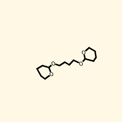 C(CCOC1CCCCO1)COC1CCCCO1